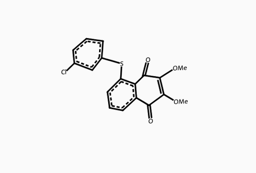 COC1=C(OC)C(=O)c2c(Sc3cccc(Cl)c3)cccc2C1=O